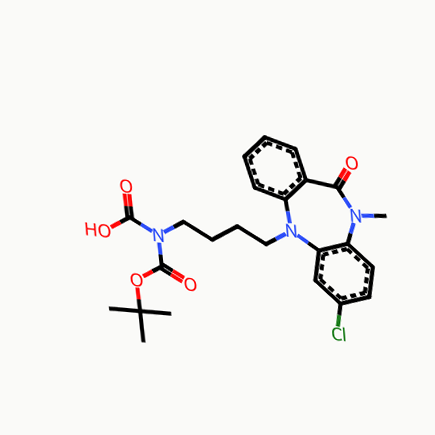 CN1C(=O)c2ccccc2N(CCCCN(C(=O)O)C(=O)OC(C)(C)C)c2cc(Cl)ccc21